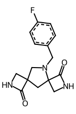 O=C1NCC12CN(Cc1ccc(F)cc1)C1(CNC1=O)C2